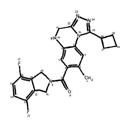 Cc1cc2c(cc1C(=O)N1Cc3c(F)ccc(F)c3C1)NCc1nnc(C3CCC3)n1-2